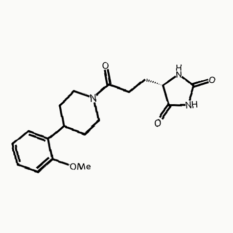 COc1ccccc1C1CCN(C(=O)CC[C@@H]2NC(=O)NC2=O)CC1